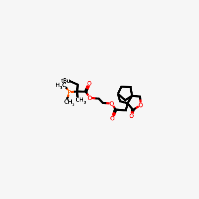 CP(C)C(C)(CC(C)(C)C)C(=O)OCCOC(=O)CC12CC3CCC1(COC2=O)C3